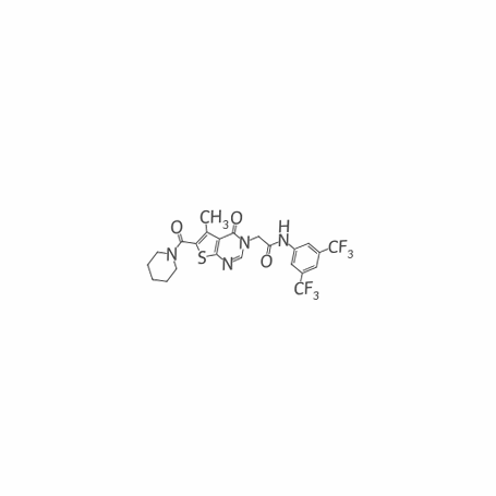 Cc1c(C(=O)N2CCCCC2)sc2ncn(CC(=O)Nc3cc(C(F)(F)F)cc(C(F)(F)F)c3)c(=O)c12